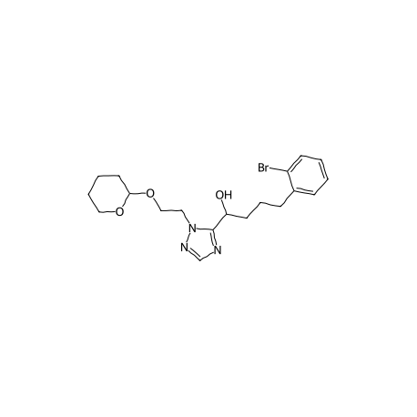 OC(CCCc1ccccc1Br)c1ncnn1CCOC1CCCCO1